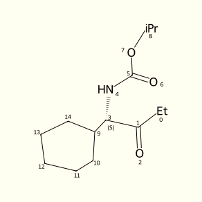 CCC(=O)[C@@H](NC(=O)OC(C)C)C1CCCCC1